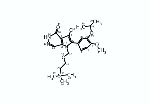 COc1ccc(-c2c(Cl)c3c(=O)[nH]ncc3n2COCC[Si](C)(C)C)cc1OC(C)C